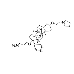 C[C@]12CCC(OCCN3CCCC3)CC1CC[C@@H]1[C@H]2CC[C@]2(C)C(OCCCN)(c3ccnnc3)CC[C@@]12O